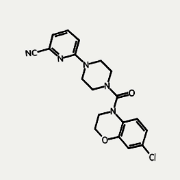 N#Cc1cccc(N2CCN(C(=O)N3CCOc4cc(Cl)ccc43)CC2)n1